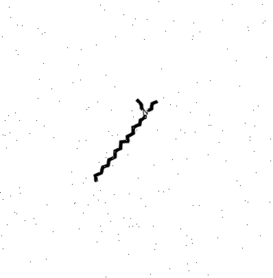 CCCCCCCCCCCCCCCCCN(CCC)CCC